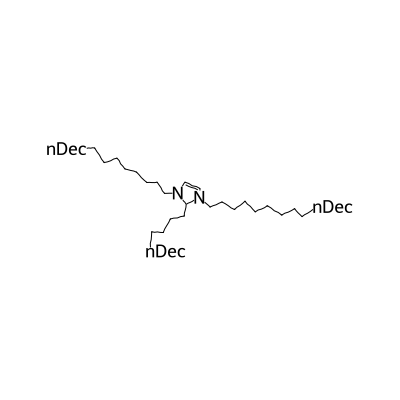 CCCCCCCCCCCCCCCCCCCN1C=CN(CCCCCCCCCCCCCCCCCC)C1CCCCCCCCCCCCCC